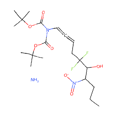 CCCC(C(O)C(F)(F)CC=C=CN(C(=O)OC(C)(C)C)C(=O)OC(C)(C)C)[N+](=O)[O-].N